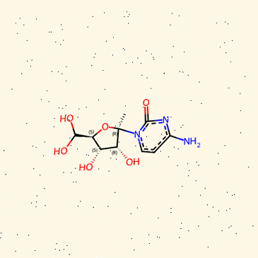 C[C@@]1(n2ccc(N)nc2=O)O[C@H](C(O)O)[C@@H](O)[C@H]1O